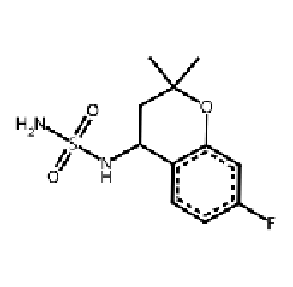 CC1(C)CC(NS(N)(=O)=O)c2ccc(F)cc2O1